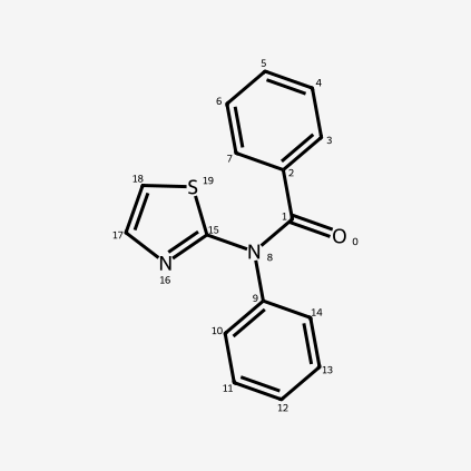 O=C(c1ccccc1)N(c1ccccc1)c1nccs1